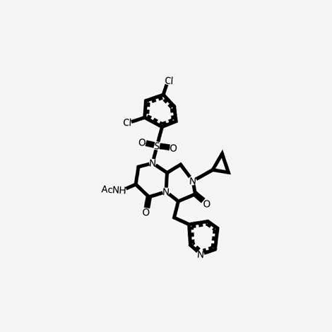 CC(=O)NC1CN(S(=O)(=O)c2ccc(Cl)cc2Cl)C2CN(C3CC3)C(=O)C(Cc3cccnc3)N2C1=O